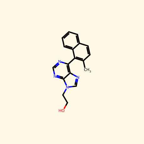 Cc1ccc2ccccc2c1-c1ncnc2c1ncn2CCO